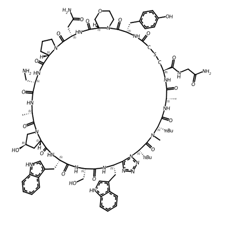 CCCC[C@H]1C(=O)N[C@@H](C)C(=O)N[C@H](C(=O)NCC(N)=O)CSCC(=O)N[C@@H](Cc2ccc(O)cc2)C(=O)N2CCOC[C@H]2C(=O)N[C@@H](CC(N)=O)C(=O)N2CCC[C@H]2C(=O)N[C@@H](CN)C(=O)N[C@@H](C)C(=O)N2C[C@H](O)C[C@H]2C(=O)N[C@@H](Cc2c[nH]c3ccccc23)C(=O)N[C@@H](CO)C(=O)N[C@@H](Cc2c[nH]c3ccccc23)c2nnnn2[C@@H](CCCC)C(=O)N1C